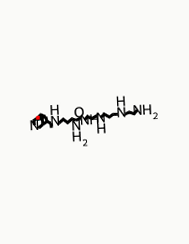 CC(NCCCCC(N)C(=O)NCCCNCCCCNCCCN)C1C2CC3CC1CN(C3)C2